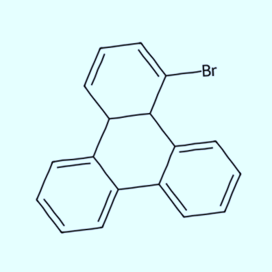 BrC1=CC=CC2c3ccccc3-c3ccccc3C12